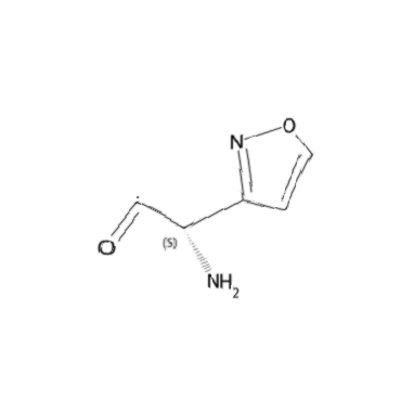 N[C@H]([C]=O)c1ccon1